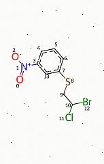 O=[N+]([O-])c1cccc(SCC(Cl)Br)c1